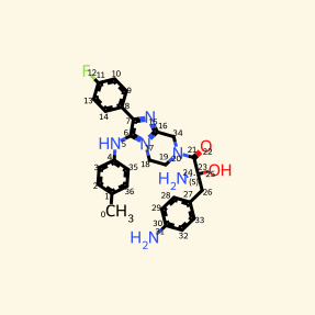 Cc1ccc(Nc2c(-c3ccc(F)cc3)nc3n2CCN(C(=O)[C@@](N)(O)Cc2ccc(N)cc2)C3)cc1